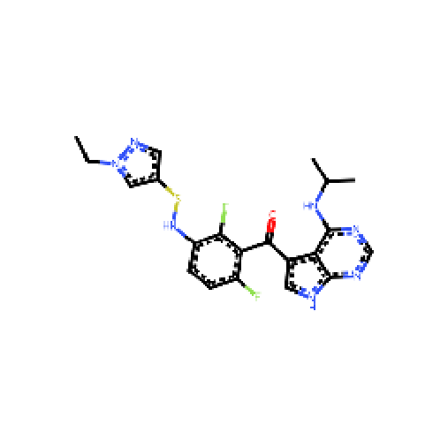 CCn1cc(SNc2ccc(F)c(C(=O)c3c[nH]c4ncnc(NC(C)C)c34)c2F)cn1